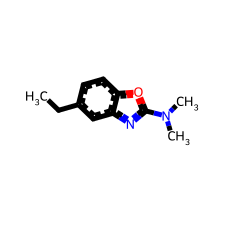 CCc1ccc2oc(N(C)C)nc2c1